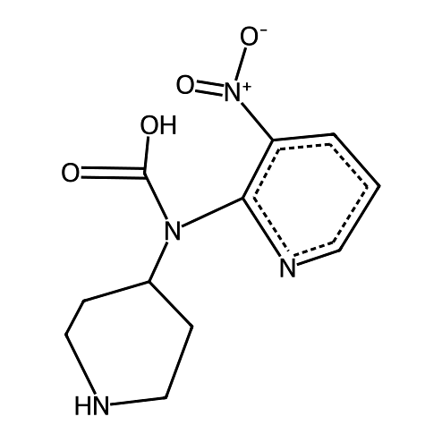 O=C(O)N(c1ncccc1[N+](=O)[O-])C1CCNCC1